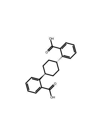 O=C(O)c1ccccc1[C@H]1CC[C@H](c2ccccc2C(=O)O)CC1